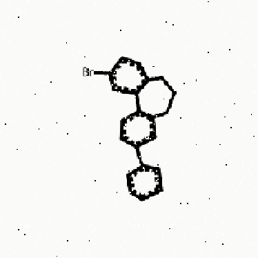 Brc1ccc2c(c1)-c1ccc(-c3ccccc3)cc1CCC2